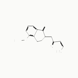 COc1cccc2c1CCC(CC(=N)/C=C\N)C2=O